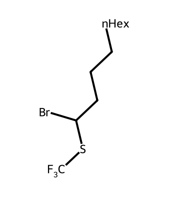 CCCCCCCCCC(Br)SC(F)(F)F